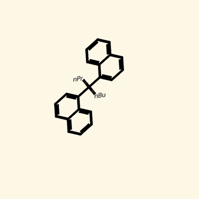 [CH2]CCC(CCCC)(c1cccc2ccccc12)c1cccc2ccccc12